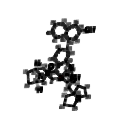 O=C(CC1CCNC1)N1[C@@H]2CC[C@H]1CN(c1nc(OCC34CCCN3CCC4)nc3cc(-c4cc(O)cc5ccccc45)ccc13)C2